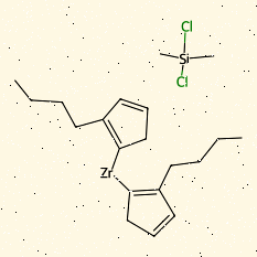 CCCCC1=[C]([Zr][C]2=C(CCCC)C=CC2)CC=C1.C[Si](C)(Cl)Cl